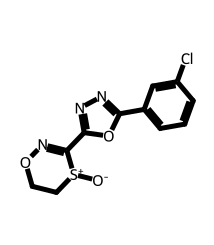 [O-][S+]1CCON=C1c1nnc(-c2cccc(Cl)c2)o1